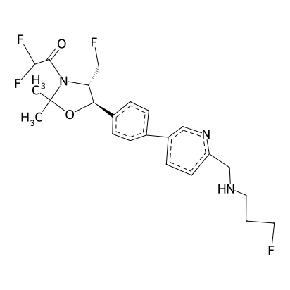 CC1(C)O[C@H](c2ccc(-c3ccc(CNCCCF)nc3)cc2)[C@@H](CF)N1C(=O)C(F)F